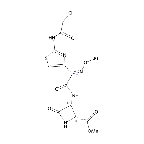 CCO/N=C(/C(=O)N[C@H]1C(=O)N[C@H]1C(=O)OC)c1csc(NC(=O)CCl)n1